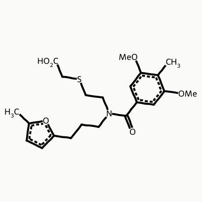 COc1cc(C(=O)N(CCCc2ccc(C)o2)CCSCC(=O)O)cc(OC)c1C